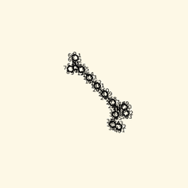 c1ccc(-n2c3ccccc3c3cc(-c4ccc(-c5ccc(-c6ccc(-c7ccc(N(c8ccc(-c9cccc%10ccccc9%10)cc8)c8cccc9ccccc89)cc7)cc6)cc5)cc4)ccc32)cc1